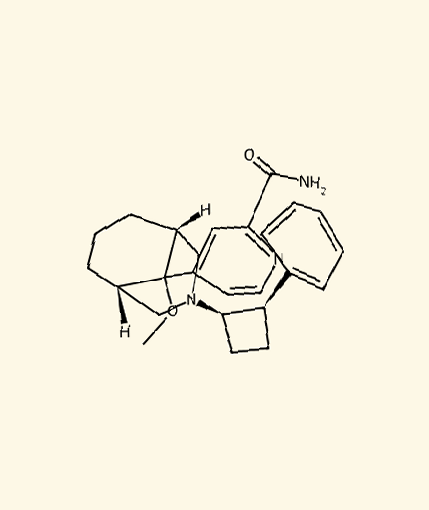 COC1(c2ccnc(C(N)=O)c2)[C@@H]2CCC[C@H]1CN([C@@H]1CC[C@@H]1c1ccccc1)C2